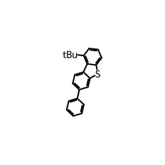 CC(C)(C)c1cccc2sc3cc(-c4ccccc4)ccc3c12